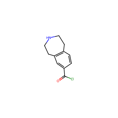 O=C(Cl)c1ccc2c(c1)CCNCC2